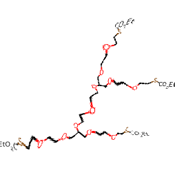 CCOC(=O)SCCOCCOCC(COCCOCCSC(=O)OCC)OCCOCCOC(COCCOCCSC(=O)OCC)COCCOCCSC(=O)OCC